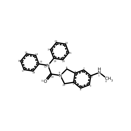 CNc1ccc2c(c1)CN(C(=O)N(c1ccccc1)c1ccccc1)C2